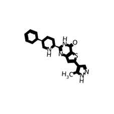 Cc1[nH]ncc1-c1cc2nc([C@@H]3CC[C@H](C4C=CC=CC4)CN3)[nH]c(=O)c2s1